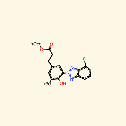 CCCCCCCCOC(=O)CCc1cc(-n2nc3cccc(Cl)c3n2)c(O)c(C(C)(C)C)c1